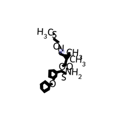 CSCCO/N=C/C1C(C(=O)OC(C(N)=S)c2cccc(Oc3ccccc3)c2)C1(C)C